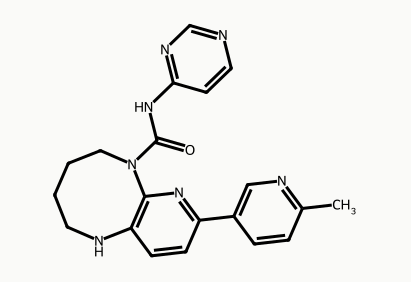 Cc1ccc(-c2ccc3c(n2)N(C(=O)Nc2ccncn2)CCCCN3)cn1